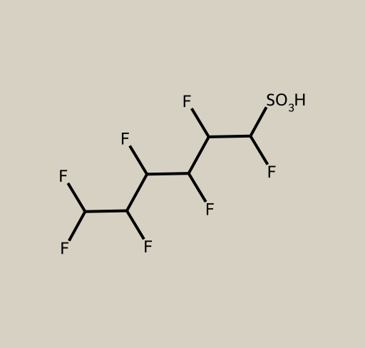 O=S(=O)(O)C(F)C(F)C(F)C(F)C(F)C(F)F